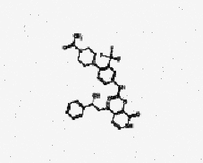 CC(=O)N1CCN(c2ccc(NC(=O)Oc3c(NC[C@@H](O)c4ccccc4)cc[nH]c3=O)cc2C(F)(F)F)CC1